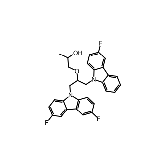 CC(O)COC(Cn1c2ccccc2c2cc(F)ccc21)Cn1c2ccc(F)cc2c2cc(F)ccc21